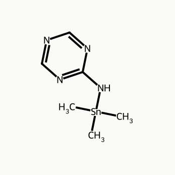 [CH3][Sn]([CH3])([CH3])[NH]c1ncncn1